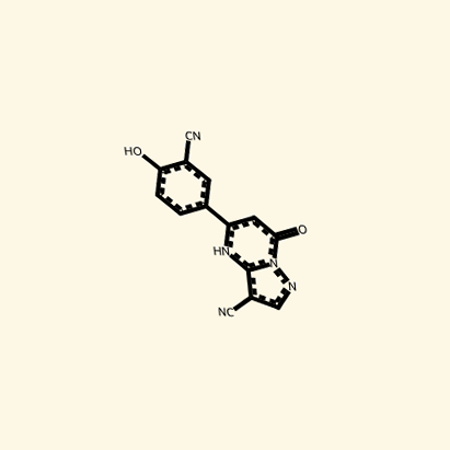 N#Cc1cc(-c2cc(=O)n3ncc(C#N)c3[nH]2)ccc1O